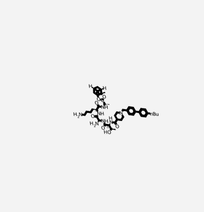 CCCCc1ccc(-c2ccc(CN3CCC(C(=O)N[C@H](C(=O)N[C@@H](N)C(=O)N[C@@H](CCCCN)C(=O)N[C@@H](C)B4OC5C[C@@H]6C[C@@H](C6(C)C)[C@]5(C)O4)[C@@H](C)O)CC3)cc2)cc1